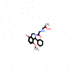 COc1ccc(Br)c2c1C(C1CCCCC1)N(C(=O)CNC[C@@H](C)O)CC2